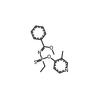 CCP(=S)(N=C(OC)c1ccccc1)Oc1ccncc1C